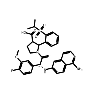 COc1cc([C@@H](Nc2ccc3c(N)nccc3c2)C(=O)N2CCC(C(=O)O)C2c2ccccc2S(=O)(=O)C(C)C)ccc1F